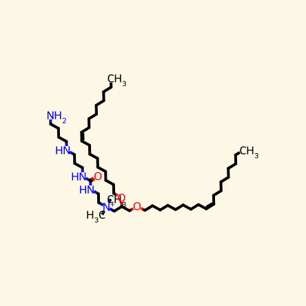 CCCCCCCC/C=C\CCCCCCCCOCC(C[N+](C)(C)CCNC(=O)NCCCNCCCCN)OCCCCCCCC/C=C\CCCCCCCC